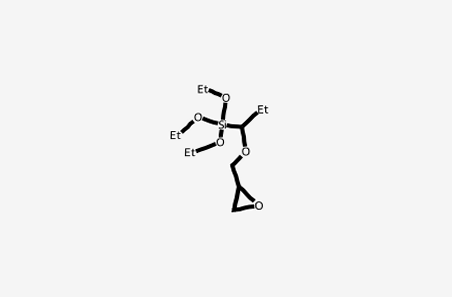 [CH2]CC(OCC1CO1)[Si](OCC)(OCC)OCC